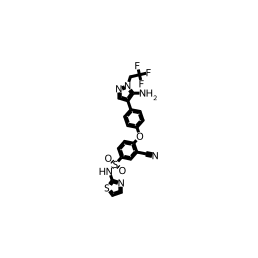 N#Cc1cc(S(=O)(=O)Nc2nccs2)ccc1Oc1ccc(-c2cnn(CC(F)(F)F)c2N)cc1